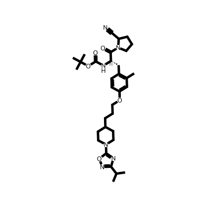 Cc1cc(OCCCC2CCN(c3nc(C(C)C)no3)CC2)ccc1C[C@H](NC(=O)OC(C)(C)C)C(=O)N1CCCC1C#N